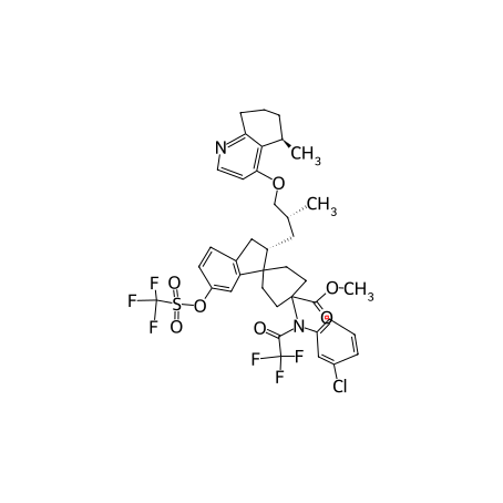 COC(=O)C1(N(C(=O)C(F)(F)F)c2cccc(Cl)c2)CCC2(CC1)c1cc(OS(=O)(=O)C(F)(F)F)ccc1C[C@@H]2C[C@@H](C)COc1ccnc2c1[C@H](C)CCC2